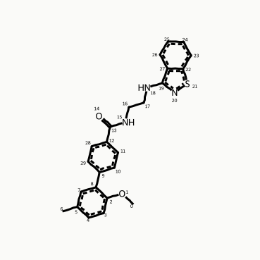 COc1ccc(C)cc1-c1ccc(C(=O)NCCNc2nsc3ccccc23)cc1